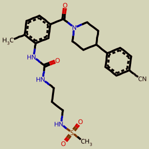 Cc1ccc(C(=O)N2CCC(c3ccc(C#N)cc3)CC2)cc1NC(=O)NCCCNS(C)(=O)=O